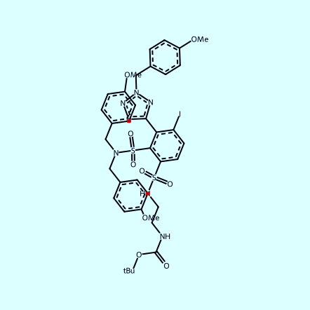 COc1ccc(CN(Cc2ccc(OC)cc2)S(=O)(=O)c2c(S(=O)(=O)NCCNC(=O)OC(C)(C)C)ccc(I)c2-c2nnn(Cc3ccc(OC)cc3)n2)cc1